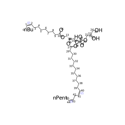 CCCC/C=C\CCCCCCCC(=O)OC[C@H](COP(=O)(O)OC[C@@H](O)CO)OC(=O)CCCCCCCCCCC/C=C\C/C=C\CCCCC